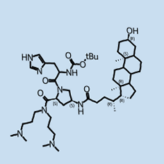 C[C@H](CCC(=O)N[C@H]1C[C@@H](C(=O)N(CCCN(C)C)CCCN(C)C)N(C(=O)C(Cc2c[nH]cn2)NC(=O)OC(C)(C)C)C1)[C@H]1CCC2C3CCC4C[C@H](O)CC[C@]4(C)C3CC[C@@]21C